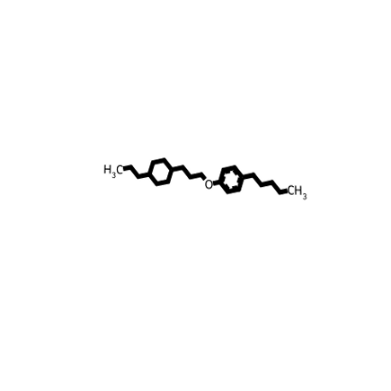 CCCCCc1ccc(OCCCC2CCC(CCC)CC2)cc1